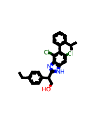 CCc1ccc(C(CO)c2nc3c(Cl)c(-c4ccccc4C(C)C)c(Cl)cc3[nH]2)cc1